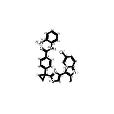 Cc1nc2ccc(Cl)cn2c1-c1csc(C2(c3ccc(C(=O)Nc4ccccc4N)cc3)CC2)n1